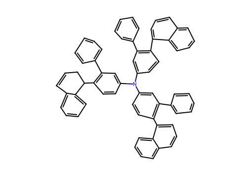 C1=Cc2ccccc2C(c2ccc(N(c3ccc(-c4cccc5ccccc45)c(-c4ccccc4)c3)c3ccc(-c4cccc5ccccc45)c(-c4ccccc4)c3)cc2-c2ccccc2)C1